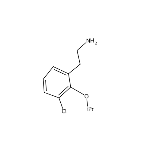 CC(C)Oc1c(Cl)cccc1CCN